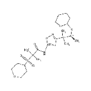 C[C@H](OC1CCCCO1)C(C)(C)c1cc(NC(=O)C(C)(C)S(=O)(=O)C2CCOCC2)on1